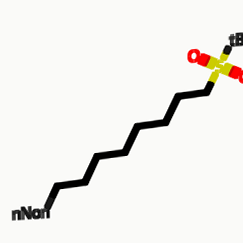 CCCCCCCCCCCCCCCCCS(=O)(=O)C(C)(C)C